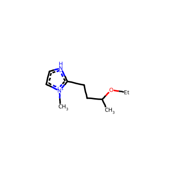 CCOC(C)CCc1[nH]cc[n+]1C